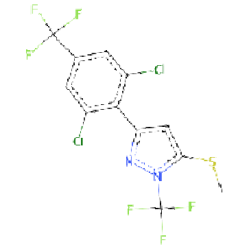 CSc1cc(-c2c(Cl)cc(C(F)(F)F)cc2Cl)nn1C(F)(F)F